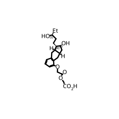 CC[C@H](O)CC[C@@H]1[C@H]2Cc3cccc(OCC(=O)OCC(=O)O)c3C[C@H]2C[C@H]1O